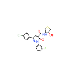 O=C(NC1CSCC1O)c1cc(-c2ccc(Cl)cc2)nn(-c2cccc(F)c2)c1=O